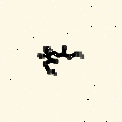 [2H]C(N)(CCC(=O)OC)C(=O)OC